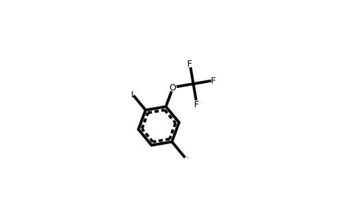 [CH2]c1ccc(I)c(OC(F)(F)F)c1